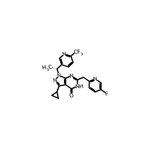 C[C@H](c1ccc(C(F)(F)F)nc1)n1nc(C2CC2)c2c(=O)[nH]c(Cc3ccc(F)cn3)nc21